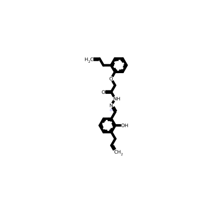 C=CCc1ccccc1OCC(=O)N/N=C/c1cccc(CC=C)c1O